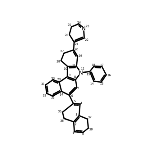 C1=CC2=C(C=C(c3cc4c(c5c(n4-c4ccccc4)C=C(C4=CN=CCC4)CC5)c4ccccc34)CC2)CC1